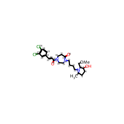 COCC1C(O)CCC(C)N1CCCCN1CCN(C(=O)/C=C/c2ccc(Cl)c(Cl)c2)CCC1=O